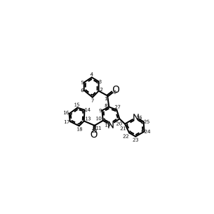 O=C(c1ccccc1)c1cc(C(=O)c2ccccc2)nc(-c2ccccn2)c1